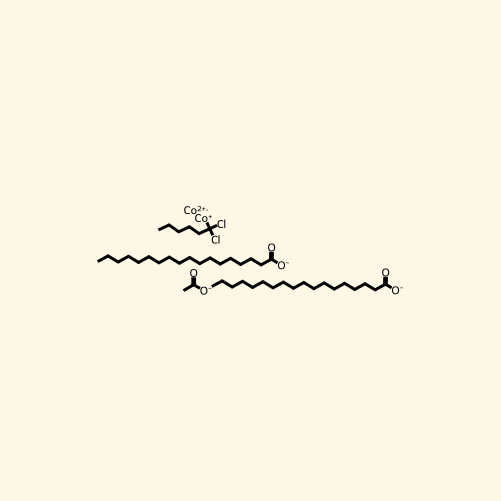 CC(=O)[O-].CCCCCCCCCCCCCCCCCC(=O)[O-].CCCCCCCCCCCCCCCCCC(=O)[O-].CCCCC[C](Cl)(Cl)[Co+].[Co+2]